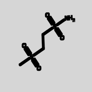 CS(=O)(=O)CCS(N)(=O)=O